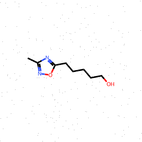 Cc1noc(CCCCCO)n1